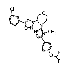 Cn1c(-c2ccc(OC(F)F)cc2)nnc1N1CCOCC1c1cc(-c2cccc(Cl)c2)on1